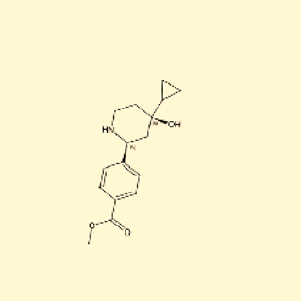 COC(=O)c1ccc([C@@H]2C[C@@](O)(C3CC3)CCN2)cc1